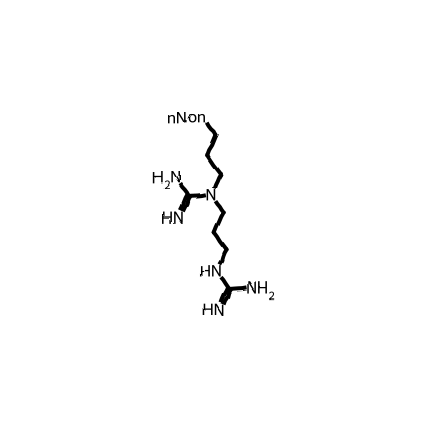 CCCCCCCCCCCCN(CCCNC(=N)N)C(=N)N